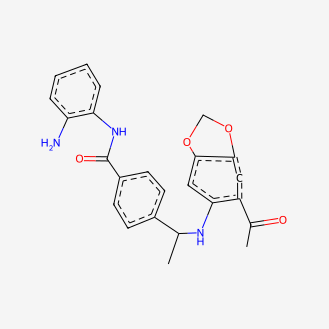 CC(=O)c1cc2c(cc1NC(C)c1ccc(C(=O)Nc3ccccc3N)cc1)OCO2